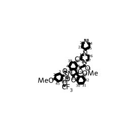 COc1ccc(S(=O)(=O)N2C(=O)C(OCC(=O)N3CCN(c4ccncc4)CC3)(c3ccccc3OC)c3cc(Cl)ccc32)c(OC(F)(F)F)c1